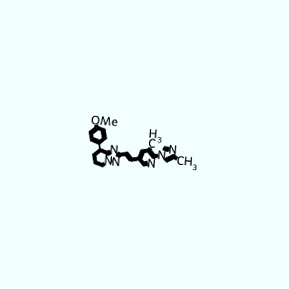 COc1ccc([C@@H]2CCCn3nc(/C=C/c4cnc(-n5cnc(C)c5)c(C)c4)nc32)cc1